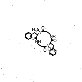 CN1C(=O)CCNC(=O)C(Cc2ccccc2)N(C)C(=O)CCNC(=O)C1Cc1ccccc1